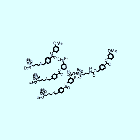 CCO[Si](CCCN=Cc1ccc(C(=O)Oc2cccc(N(C)C)c2)cc1)(OCC)OCC.CCO[Si](CCCN=Cc1ccc(C(=O)Oc2cccc(N(CC)CC)c2)cc1)(OCC)OCC.CCO[Si](CCCN=Cc1ccc(C(=O)Oc2cccc(OC)c2)cc1)(OCC)OCC.CCO[Si](CCCNC(=O)OCc1ccc(C(=O)Oc2cccc(OC)c2)cc1)(OCC)OCC